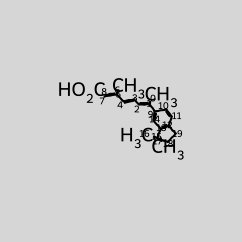 CC(=CC=C/C(C)=C/C(=O)O)c1ccc2c(c1)C(C)(C)CC2